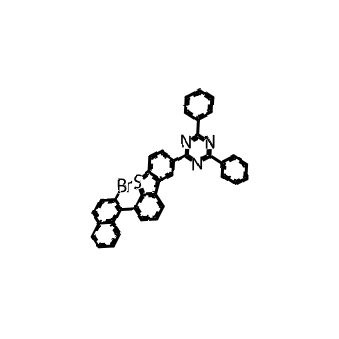 Brc1ccc2ccccc2c1-c1cccc2c1sc1ccc(-c3nc(-c4ccccc4)nc(-c4ccccc4)n3)cc12